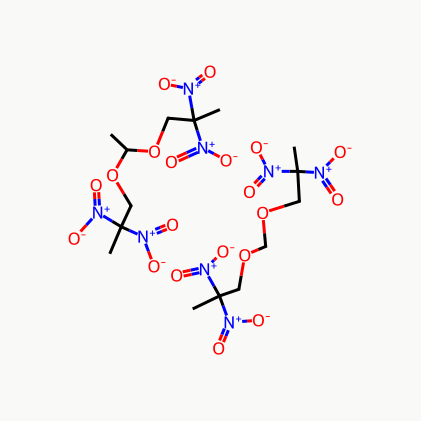 CC(COCOCC(C)([N+](=O)[O-])[N+](=O)[O-])([N+](=O)[O-])[N+](=O)[O-].CC(OCC(C)([N+](=O)[O-])[N+](=O)[O-])OCC(C)([N+](=O)[O-])[N+](=O)[O-]